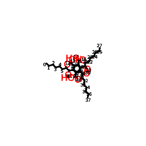 CCCCCCCC(=O)c1c(C(=O)O)c(C(=O)O)c(C(=O)CCCCCCC)c(C(=O)CCCCCCC)c1C(=O)O